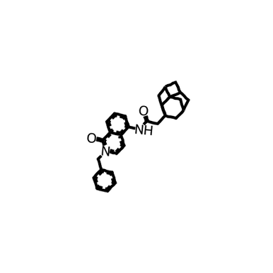 O=C(CC12CC3CC4CC(C1)C4(C3)C2)Nc1cccc2c(=O)n(Cc3ccccc3)ccc12